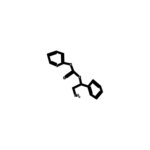 NCC(OC(=O)Oc1ccccn1)c1ccccc1